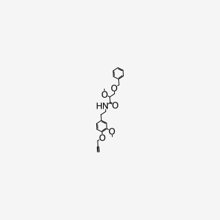 C#CCOc1ccc(CCNC(=O)C(COCc2ccccc2)OC)cc1OC